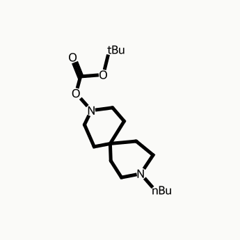 CCCCN1CCC2(CC1)CCN(OC(=O)OC(C)(C)C)CC2